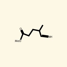 COC(=O)CCC(C)C=N